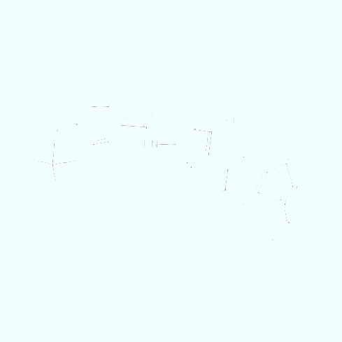 CC(=O)N1CCc2cc(-c3nc(NC(=O)c4cccc(OC(F)(F)F)c4)sc3C)ccc21